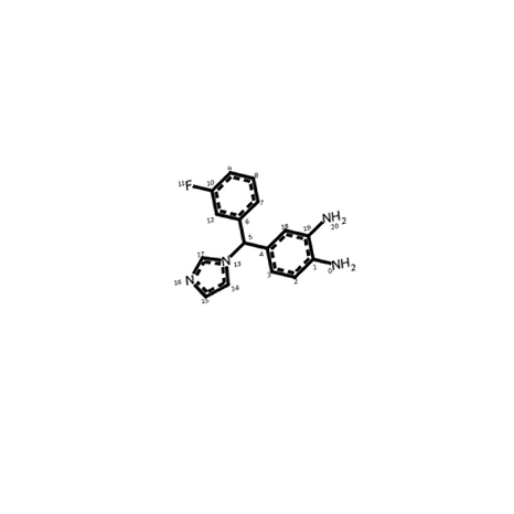 Nc1ccc(C(c2cccc(F)c2)n2ccnc2)cc1N